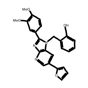 COc1ccc(-c2nc3ncc(-c4ccco4)cc3n2Cc2ccccc2O)cc1OC